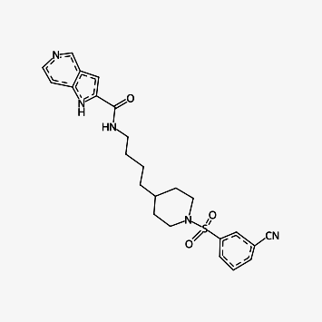 N#Cc1cccc(S(=O)(=O)N2CCC(CCCCNC(=O)c3cc4cnccc4[nH]3)CC2)c1